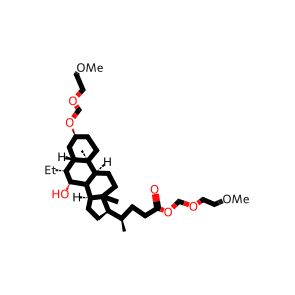 CC[C@H]1[C@@H](O)C2[C@@H]3CC[C@H]([C@H](C)CCC(=O)OCOCCOC)C3(C)CC[C@@H]2[C@]2(C)CC[C@@H](OCOCCOC)C[C@@H]12